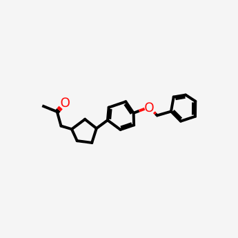 CC(=O)CC1CCC(c2ccc(OCc3ccccc3)cc2)C1